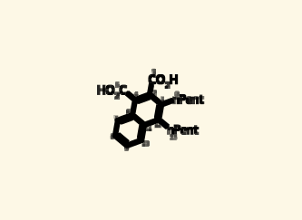 CCCCCc1c(C(=O)O)c(C(=O)O)c2ccccc2c1CCCCC